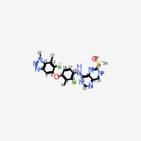 Cc1c(Oc2cc3nnn(C)c3c(C)c2F)ccc(Nc2ncnc3cnc([S+](C)[O-])nc23)c1F